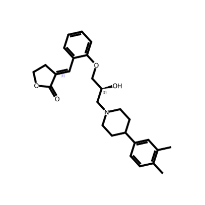 Cc1ccc(C2CCN(C[C@H](O)COc3ccccc3/C=C3\CCOC3=O)CC2)cc1C